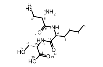 CCCC[C@H](NC(=O)[C@@H](N)CS)C(=O)N[C@@H](CO)C(=O)O